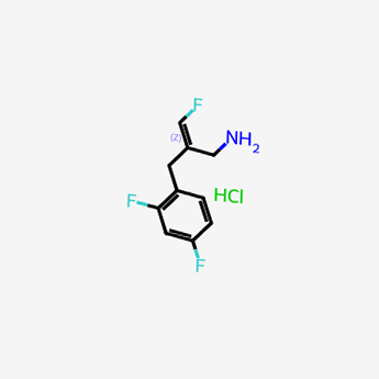 Cl.NC/C(=C\F)Cc1ccc(F)cc1F